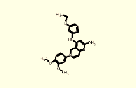 CCOc1cccc(Nc2cc(N)nc3c2CN(c2ccc(OC)c(OC)c2)C=C3)c1